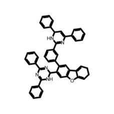 C1=C(c2ccccc2)N=C(c2cccc(-c3cc4c5c(oc4cc3C3N=C(c4ccccc4)N=C(c4ccccc4)N3)=CCCC=5)c2)NC1c1ccccc1